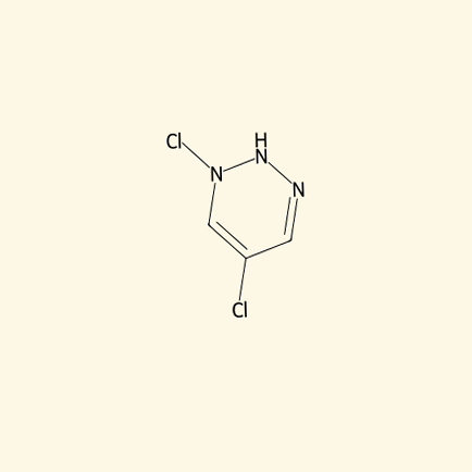 ClC1=CN(Cl)NN=C1